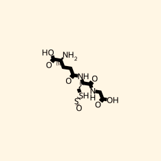 N[C@@H](CCC(=O)N[C@@H](C[SH]=S=O)C(=O)NCC(=O)O)C(=O)O